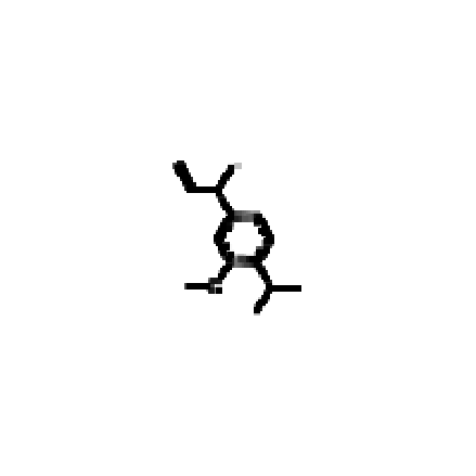 [CH2]C(C=C)c1ccc(C(C)C)c(OC)c1